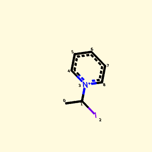 CC(I)[n+]1ccccc1